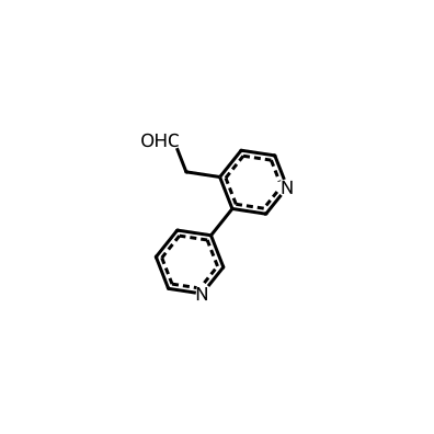 O=CCc1ccncc1-c1cccnc1